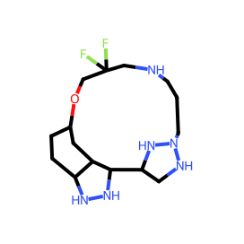 FC1(F)CNCCCN2NCC(N2)C2NNC3CCC(CC32)OC1